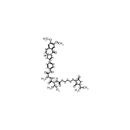 COc1cc2c(cc1OC)C(=O)N1C=C(c3ccc(NC(=O)[C@H](C)NC(=O)[C@@H](NC(=O)CCCCCN4C(=O)CC(C(C)C)C4=O)C(C)C)cc3)C[C@H]1C=N2